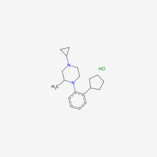 CC1CN(C2CC2)CCN1c1ccccc1C1CCCC1.Cl